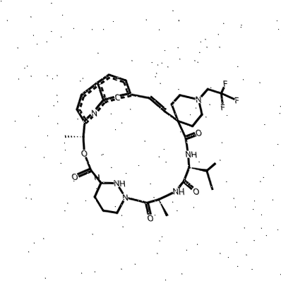 CC(C)[C@@H]1NC(=O)C2(/C=C/c3ccc4ccc(nc4c3)[C@@H](C)OC(=O)[C@@H]3CCCN(N3)C(=O)[C@H](C)NC1=O)CCN(CC(F)(F)F)CC2